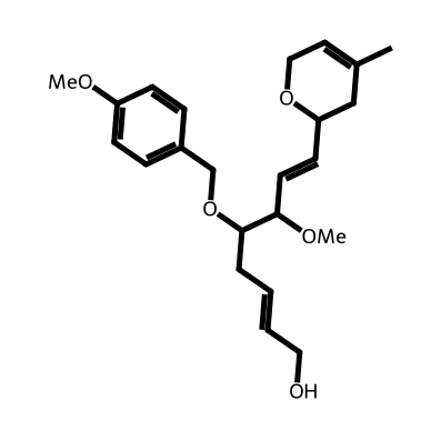 COc1ccc(COC(CC=CCO)C(C=CC2CC(C)=CCO2)OC)cc1